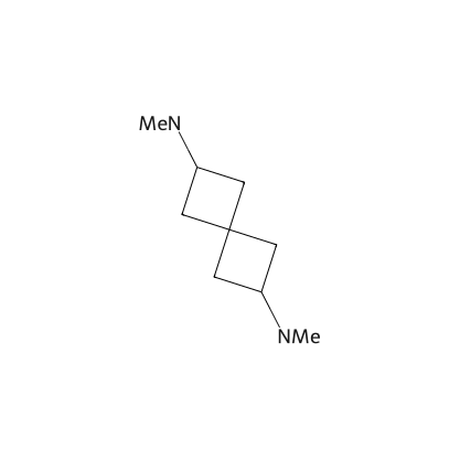 CNC1CC2(C1)CC(NC)C2